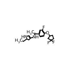 CCC1CC(N[C@@H](C)c2ccc(OC3CCC(F)(F)C3)c(F)c2)=CN1